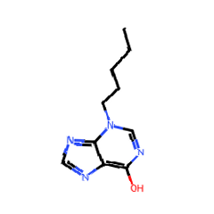 CCCCCn1cnc(O)c2ncnc1-2